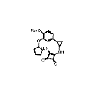 COc1ccc(C2CC2Nc2c(N)c(=O)c2=O)cc1OC1CCCC1